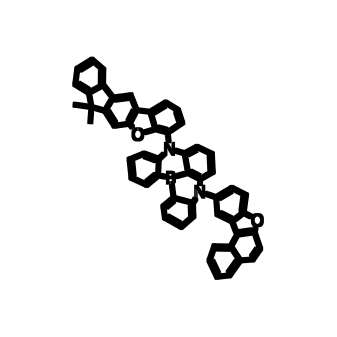 CC1(C)c2ccccc2-c2cc3c(cc21)oc1c(N2c4ccccc4B4c5ccccc5N(c5ccc6oc7ccc8ccccc8c7c6c5)c5cccc2c54)cccc13